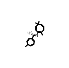 C/C1=C(\N=C(/S)C2=CC=CC(C)C=C2)/C=C\C(C)(C)/C=C\C1